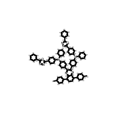 Cc1ccc(-c2ccc(-c3ccc(C)cc3)c3nc(-c4ccc(N(c5ccccc5)c5ccc(-c6nnc(-c7ccccc7)o6)cc5)cc4)c(-c4ccc(N(c5ccccc5)c5ccc(-c6nnc(-c7ccccc7)o6)cc5)cc4)nc23)cc1